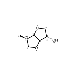 C[C@@H]1COC2C1OC[C@@H]2O